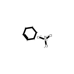 C1=CCCCC1.Cl[SiH](Cl)Cl